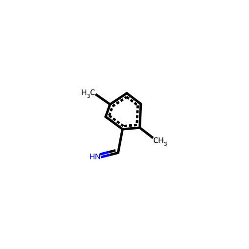 Cc1ccc(C)c(C=N)c1